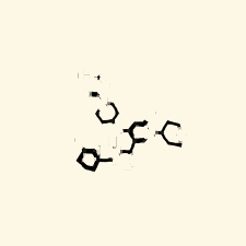 Cc1c([C@@H](C)NC(=O)c2cn(C3CCOCC3)c(=O)cc2SC2CCN(C(=O)OC(C)(C)C)CC2)cccc1C(F)(F)F